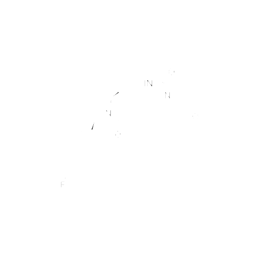 COCCn1c(=O)[nH]c2cc(C(=O)N3[C@@H](CCc4ccc(F)cc4)CC[C@H]3C)ccc21